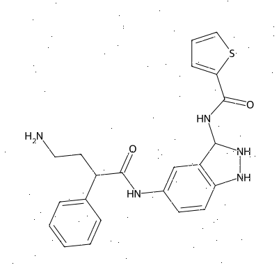 NCCC(C(=O)Nc1ccc2c(c1)C(NC(=O)c1cccs1)NN2)c1ccccc1